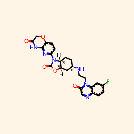 O=C1COc2ccc(N3C(=O)O[C@@H]4C[C@H](NCCn5c(=O)cnc6ccc(F)cc65)CC[C@H]43)nc2N1